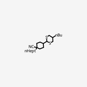 CCCCCCCC1(C#N)CCC(C2SCC(CCCC)CS2)CC1